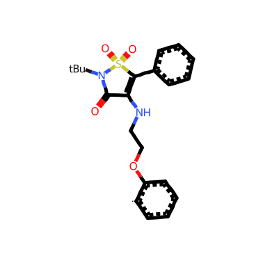 CC(C)(C)N1C(=O)C(NCCOc2[c]cccc2)=C(c2ccccc2)S1(=O)=O